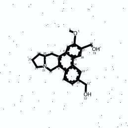 COc1cc2c3c(c4ccc(CO)cc4c2cc1CO)CN1CCCC1C3